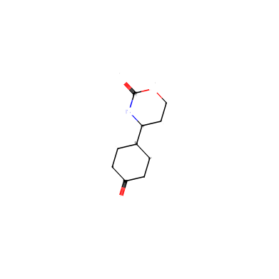 O=C1CCC(C2CCOC(=O)N2)CC1